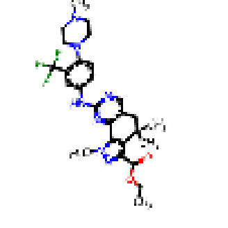 CCOC(=O)c1nn(C)c2c1C(C)(C)Cc1cnc(Nc3ccc(N4CCN(C)CC4)c(C(F)(F)F)c3)nc1-2